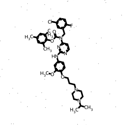 COc1cc(Nc2nccc(N(Cc3cc(Cl)ccc3F)C(=O)Oc3c(C)cc(C)cc3C)n2)ccc1OCCCN1CCN(C(C)C)CC1